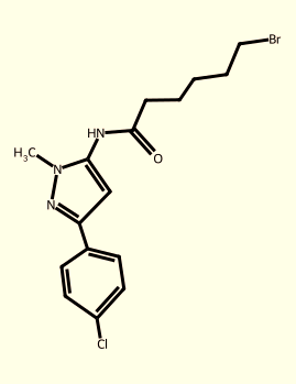 Cn1nc(-c2ccc(Cl)cc2)cc1NC(=O)CCCCCBr